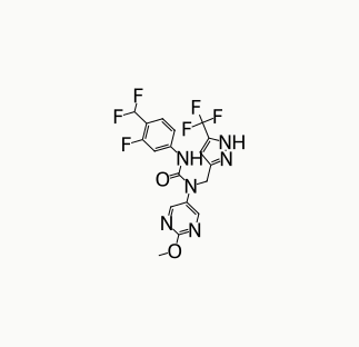 COc1ncc(N(Cc2cc(C(F)(F)F)[nH]n2)C(=O)Nc2ccc(C(F)F)c(F)c2)cn1